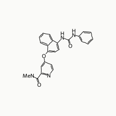 CNC(=O)c1cc(Oc2ccc(NC(=O)Nc3ccccc3)c3ccccc23)ccn1